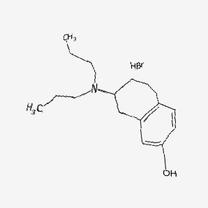 Br.CCCN(CCC)C1CCc2ccc(O)cc2C1